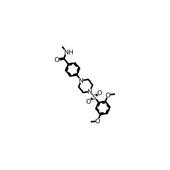 CNC(=O)c1ccc(N2CCN(S(=O)(=O)c3cc(OC)ccc3OC)CC2)cc1